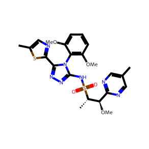 COc1cccc(OC)c1-n1c(NS(=O)(=O)[C@@H](C)[C@H](OC)c2ncc(C)cn2)nnc1-c1ncc(C)s1